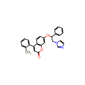 Cc1ccccc1-c1cc(=O)oc2cc(OC(Cn3ccnc3)c3ccccc3)ccc12